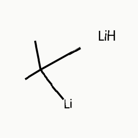 [LiH].[Li][C](C)(C)C